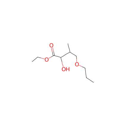 CCCOCC(C)C(O)C(=O)OCC